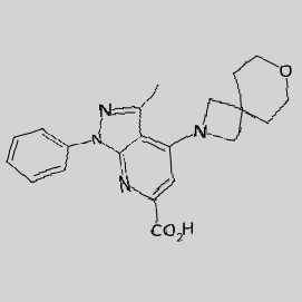 Cc1nn(-c2ccccc2)c2nc(C(=O)O)cc(N3CC4(CCOCC4)C3)c12